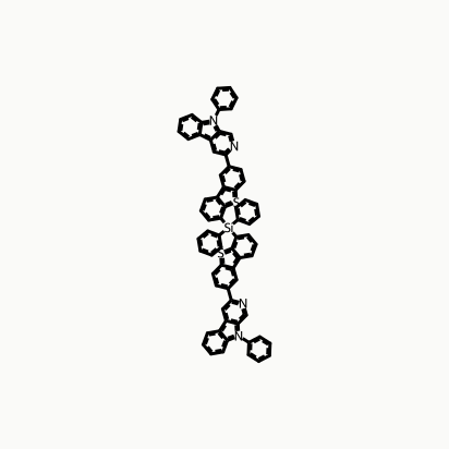 c1ccc(-n2c3ccccc3c3cc(-c4ccc5sc6c([Si](c7ccccc7)(c7ccccc7)c7cccc8c7sc7ccc(-c9cc%10c%11ccccc%11n(-c%11ccccc%11)c%10cn9)cc78)cccc6c5c4)ncc32)cc1